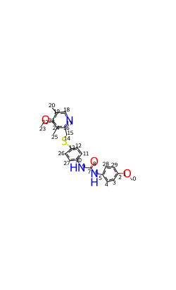 COc1ccc(NC(=O)Nc2ccc(SCc3ncc(C)c(OC)c3C)cc2)cc1